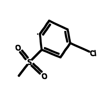 CS(=O)(=O)c1[c]ccc(Cl)c1